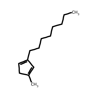 CCCCCCCCC1=CCC(C)=C1